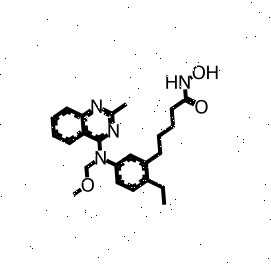 CCc1ccc(N(COC)c2nc(C)nc3ccccc23)cc1CCCCC(=O)NO